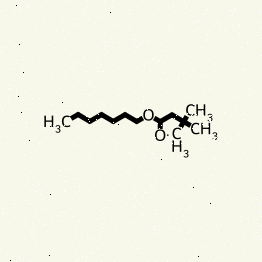 CCCCCCCOC([O])CC(C)(C)C